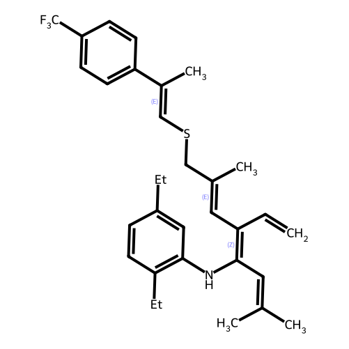 C=CC(/C=C(\C)CS/C=C(\C)c1ccc(C(F)(F)F)cc1)=C(\C=C(C)C)Nc1cc(CC)ccc1CC